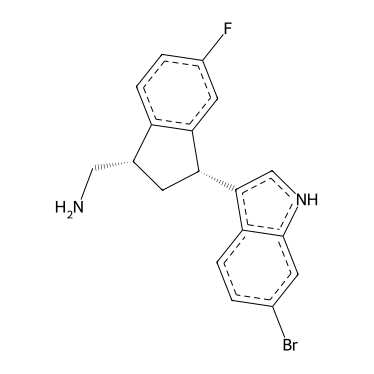 NC[C@H]1C[C@@H](c2c[nH]c3cc(Br)ccc23)c2cc(F)ccc21